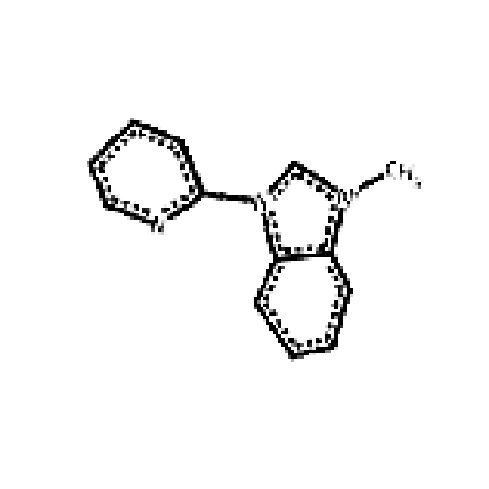 C[n+]1cn(-c2ccccn2)c2ccccc21